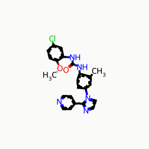 COc1ccc(Cl)cc1NC(=O)Nc1ccc(-n2ccnc2-c2ccncc2)cc1C